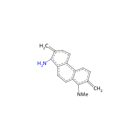 C=c1ccc2c(ccc3c(NC)c(=C)ccc32)c1N